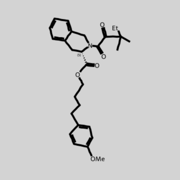 CCC(C)(C)C(=O)C(=O)N1Cc2ccccc2C[C@H]1C(=O)OCCCCc1ccc(OC)cc1